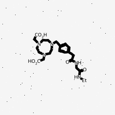 CCNC(=O)CNC(=O)Cc1ccc(CN2CCN(CC(=O)O)CCN(CC(=O)O)CC2)cc1